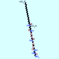 NCC(=O)NCCNC(=O)COCCOCCNC(=O)COCCOCCNC(=O)C/C=C(/NC(=O)CCCCCCCCCCCCCCCCCCCCC(=O)O)C(=O)O